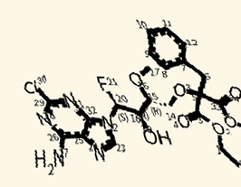 CCOC(=O)C(Cc1ccccc1)(OC[C@@H](OC)[C@@H](O)[C@H](F)n1cnc2c(N)nc(Cl)nc21)C(=O)OCC